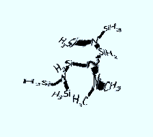 CN(C)N([SiH2]N([SiH3])[SiH3])[SiH2]N([SiH3])[SiH3]